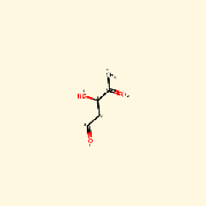 CC(=O)C(O)CC=O